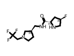 O=C(NC[C@H]1CCN(CC(F)(F)F)C1)[C@@H]1C[C@@H](F)CN1